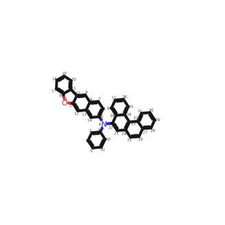 c1ccc(N(c2ccc3cc4c(cc3c2)oc2ccccc24)c2cc3ccc4ccccc4c3c3ccccc23)cc1